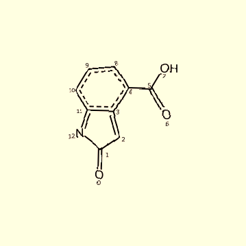 O=C1C=c2c(C(=O)O)cccc2=N1